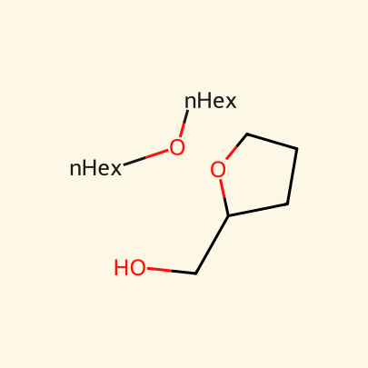 CCCCCCOCCCCCC.OCC1CCCO1